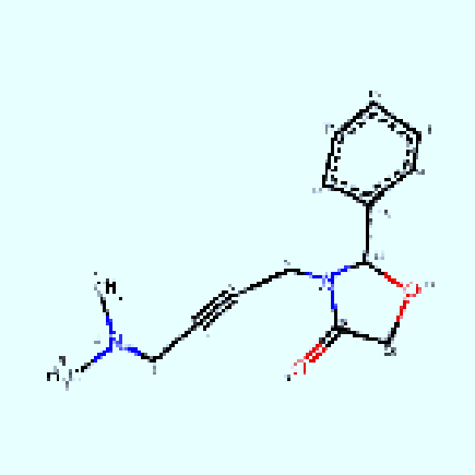 CN(C)CC#CCN1C(=O)COC1c1ccccc1